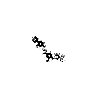 CCc1cc(/C(C)=N/OCc2ccc(-c3ccnnc3)c(C)c2)ccc1CN1CC[C@H](C(=O)O)C1